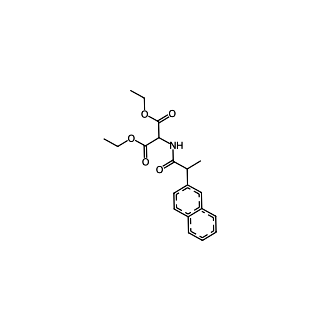 CCOC(=O)C(NC(=O)C(C)c1ccc2ccccc2c1)C(=O)OCC